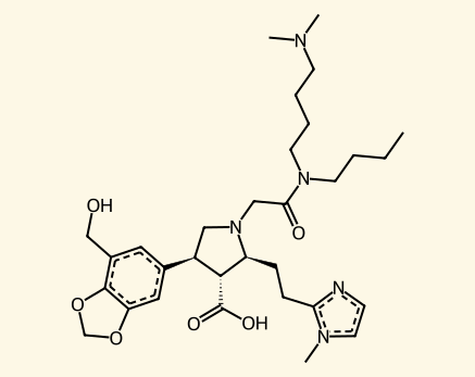 CCCCN(CCCCN(C)C)C(=O)CN1C[C@H](c2cc(CO)c3c(c2)OCO3)[C@@H](C(=O)O)[C@@H]1CCc1nccn1C